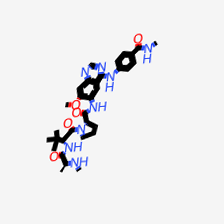 CNC(=O)c1ccc(Nc2ncnc3cc(OC)c(NC(=O)C4CCCN4C(=O)[C@@H](NC(=O)[C@H](C)NC)C(C)(C)C)cc23)cc1